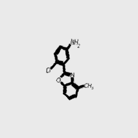 Cc1cccc2oc(-c3cc(N)ccc3Cl)nc12